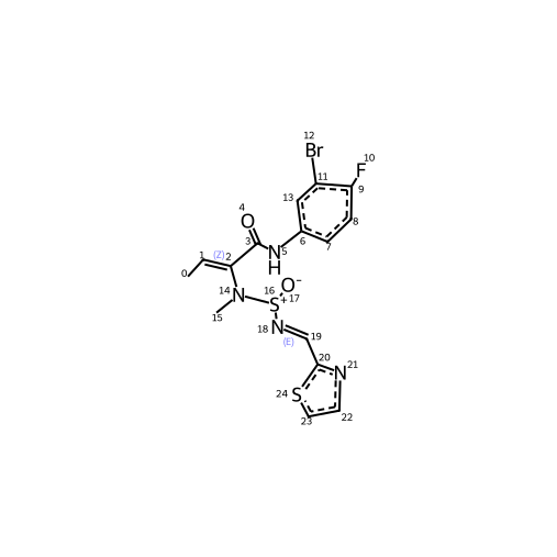 C/C=C(/C(=O)Nc1ccc(F)c(Br)c1)N(C)[S+]([O-])/N=C/c1nccs1